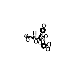 COC(=O)CCNC(=O)c1cn(-c2ccc(OC)cc2)c(=O)n(Cc2cccc(Cl)c2Cl)c1=O